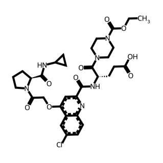 CCOC(=O)N1CCN(C(=O)[C@H](CCC(=O)O)NC(=O)c2cc(OCC(=O)N3CCC[C@H]3C(=O)NC3CC3)c3cc(Cl)ccc3n2)CC1